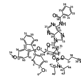 COc1ccc(C(OC[C@H]2O[C@@H](n3cnc4c(NC(=O)c5ccccc5)ncnc43)[C@@](C)(F)[C@@H]2OP(OCCC#N)N(C(C)C)C(C)C)(c2ccccc2)c2ccc(OC)cc2)cc1